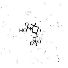 CC1(C)CO[C@@H](COS(C)(=O)=O)CN1C(=O)O